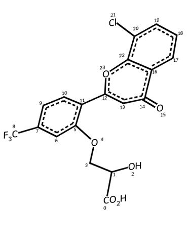 O=C(O)C(O)COc1cc(C(F)(F)F)ccc1-c1cc(=O)c2cccc(Cl)c2o1